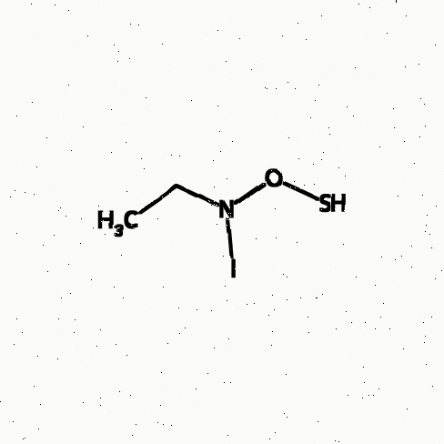 CCN(I)OS